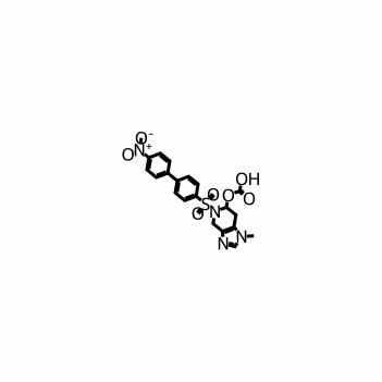 Cn1cnc2c1CC(OC(=O)O)N(S(=O)(=O)c1ccc(-c3ccc([N+](=O)[O-])cc3)cc1)C2